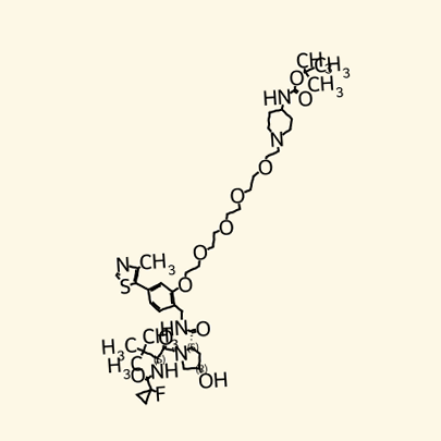 Cc1ncsc1-c1ccc(CNC(=O)[C@@H]2C[C@@H](O)CN2C(=O)[C@@H](NC(=O)C2(F)CC2)C(C)(C)C)c(OCCOCCOCCOCCOCCN2CCC(NC(=O)OC(C)(C)C)CC2)c1